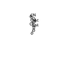 CC(=O)N1CCN(C(=O)c2cc3cc(OCc4ccccc4)ccc3[nH]2)C[C@@H]1C(=O)O[C@H]1C[C@@H](C)N(C#N)C1